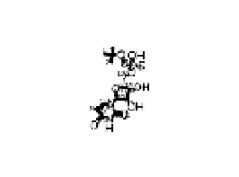 CC(C)(C)OOP(O)(=S)OC[C@H]1OC(n2ccc(=O)[nH]c2=O)[C@H](O)[C@H]1O